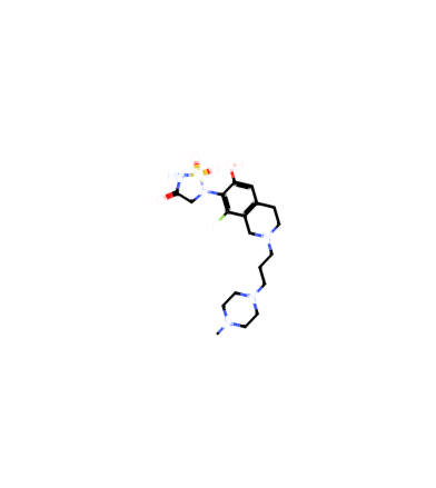 CN1CCN(CCCN2CCc3cc(O)c(N4CC(=O)NS4(=O)=O)c(F)c3C2)CC1